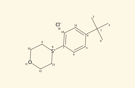 CC(C)(C)c1ccc([S+]2CCOCC2)cc1.[Cl-]